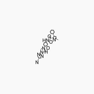 Cc1cc(-c2ccccc2)c(C(=O)C(=O)Nc2ccc3c(c2)OC[C@@H]2CN(c4ncc(C#N)cn4)CCN32)n1C